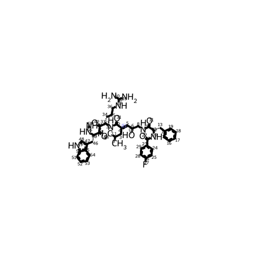 CC(C)C/C(=C\[C@H](O)CNC(=O)[C@H](Cc1ccccc1)NC(=O)c1ccc(F)cc1)C(=O)N[C@@H](CCCNC(N)N)C(=O)C(=O)[C@H](Cc1c[nH]c2ccccc12)NN